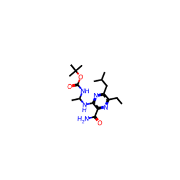 CCc1nc(C(N)=O)c(NC(C)NC(=O)OC(C)(C)C)nc1CC(C)C